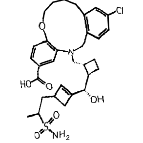 CC(CC1C=C([C@@H](O)[C@@H]2CC[C@H]2CN2Cc3ccc(Cl)cc3CCCCOc3ccc(C(=O)O)cc32)C1)S(N)(=O)=O